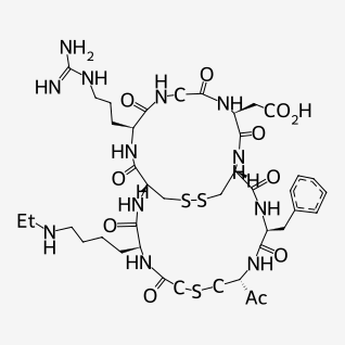 CCNCCCC[C@@H]1NC(=O)CSC[C@@H](C(C)=O)NC(=O)[C@H](Cc2ccccc2)NC(=O)[C@@H]2CSSC[C@H](NC1=O)C(=O)N[C@@H](CCCNC(=N)N)C(=O)NCC(=O)N[C@@H](CC(=O)O)C(=O)N2